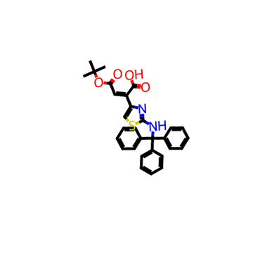 CC(C)(C)OC(=O)C=C(C(=O)O)c1csc(NC(c2ccccc2)(c2ccccc2)c2ccccc2)n1